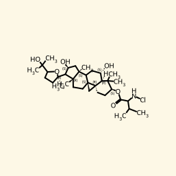 CC(C)C(NCl)C(=O)O[C@H]1CC[C@]23C[C@]24CC[C@]2(C)C([C@@]5(C)CCC(C(C)(C)O)O5)[C@@H](O)C[C@@]2(C)C4C[C@H](O)[C@H]3C1(C)C